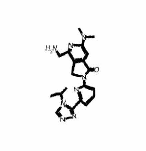 CC(C)n1cnnc1-c1cccc(N2Cc3c(cc(N(C)C)nc3CN)C2=O)n1